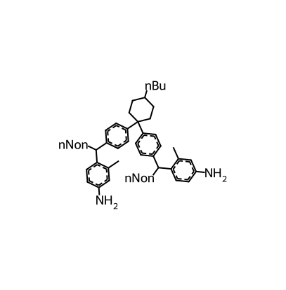 CCCCCCCCCC(c1ccc(C2(c3ccc(C(CCCCCCCCC)c4ccc(N)cc4C)cc3)CCC(CCCC)CC2)cc1)c1ccc(N)cc1C